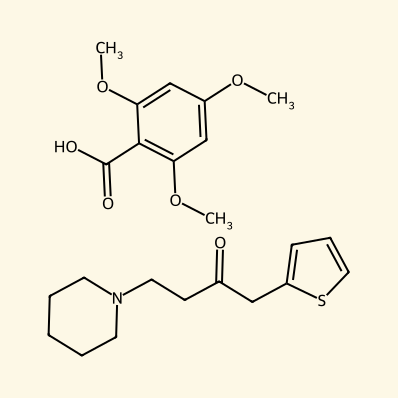 COc1cc(OC)c(C(=O)O)c(OC)c1.O=C(CCN1CCCCC1)Cc1cccs1